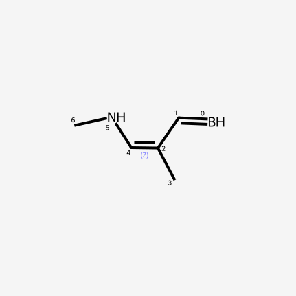 B=C/C(C)=C\NC